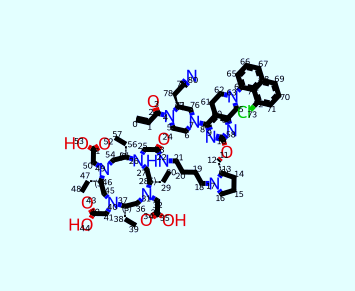 C=CC(=O)N1CCN(c2nc(OC[C@@H]3CCCN3CCCCNC(=O)CN3C[C@H](CC)N(CC(=O)O)C[C@H](CC)N(CC(=O)O)C[C@H](CC)N(CC(=O)O)C[C@@H]3CC)nc3c2CCN(c2cccc4cccc(Cl)c24)C3)C[C@@H]1CC#N